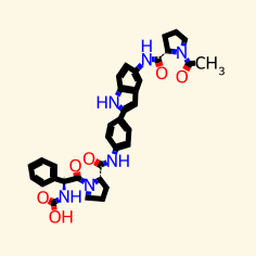 CC(=O)N1CCC[C@H]1C(=O)Nc1ccc2[nH]c(-c3ccc(NC(=O)[C@@H]4CCCN4C(=O)[C@@H](NC(=O)O)c4ccccc4)cc3)cc2c1